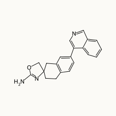 NC1=NC2(CCc3ccc(-c4cncc5ccccc45)cc3C2)CO1